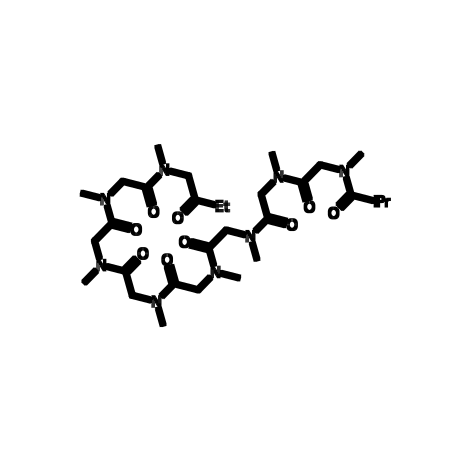 CCC(=O)CN(C)C(=O)CN(C)C(=O)CN(C)C(=O)CN(C)C(=O)CN(C)C(=O)CN(C)C(=O)CN(C)C(=O)CN(C)C(=O)C(C)C